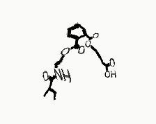 CCC(C)C(=O)NCCOC(=O)c1ccccc1C(=O)OCCC(=O)O